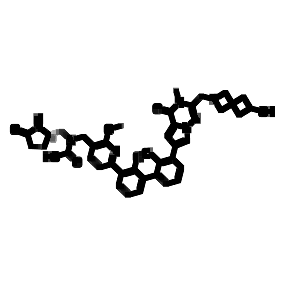 COc1nc(-c2cccc(-c3cccc(-c4cc5c(=O)n(C)c(CN6CC7(CC(O)C7)C6)nn5c4)c3Cl)c2Cl)ccc1CN(C[C@@H]1CCC(=O)N1)C(=O)O